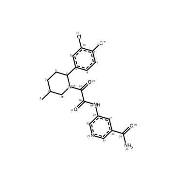 CC1CCC(c2ccc(Cl)c(Cl)c2)N(C(=O)C(=O)Nc2cncc(C(N)=O)c2)C1